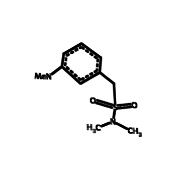 CNc1cccc(CS(=O)(=O)N(C)C)c1